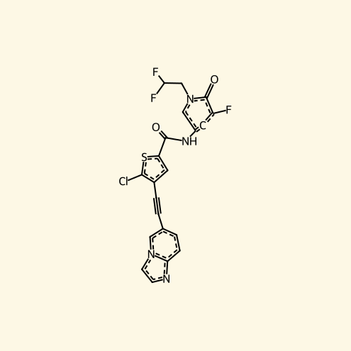 O=C(Nc1cc(F)c(=O)n(CC(F)F)c1)c1cc(C#Cc2ccc3nccn3c2)c(Cl)s1